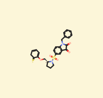 O=C1C(=O)N(Cc2ccccc2)c2ccc(S(=O)(=O)N3CCC[C@H]3COC3=CC=CCC3=S)cc21